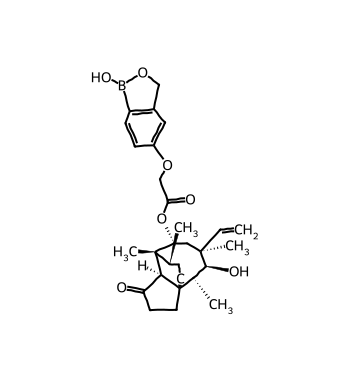 C=C[C@]1(C)C[C@@H](OC(=O)COc2ccc3c(c2)COB3O)[C@]2(C)[C@H](C)CC[C@]3(CCC(=O)[C@H]32)[C@@H](C)[C@@H]1O